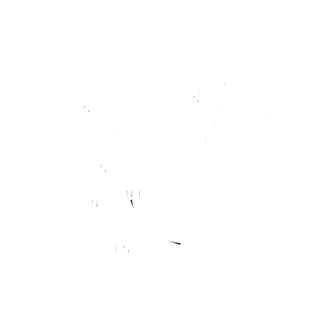 Cc1ccc2c(NS(=O)(=O)CCC(C)(F)F)c(F)ccc2c1Oc1ncccc1-c1ccnc(N[C@@H]2CNC[C@H](C)C2)n1